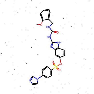 COc1ccccc1CNC(=O)Nc1nc2cc(OS(=O)(=O)c3ccc(-n4ccnc4)cc3)ccc2[nH]1